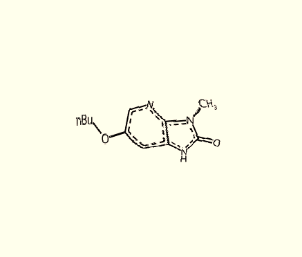 CCCCOc1cnc2c(c1)[nH]c(=O)n2C